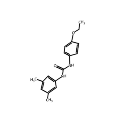 CCOc1ccc(NC(=O)Nc2cc(C)cc(C)c2)cc1